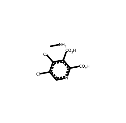 CN.O=C(O)c1ncc(Cl)c(Cl)c1C(=O)O